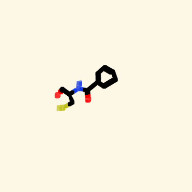 O=C[C@H](CS)NC(=O)c1ccccc1